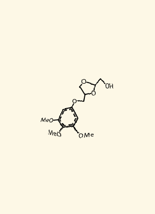 COc1cc(OCC2COC(CO)O2)cc(OC)c1OC